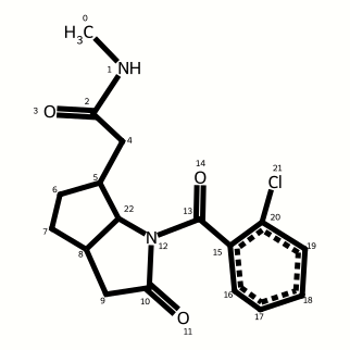 CNC(=O)CC1CCC2CC(=O)N(C(=O)c3ccccc3Cl)C12